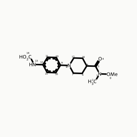 CON(C)C(=O)C1CCN(c2ccc(NC(=O)O)cc2)CC1